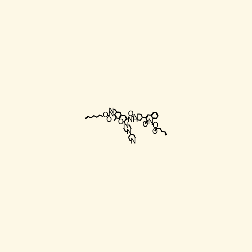 C=CCCCCCOC(=O)n1ncc2cc(CC(NC(=O)N3CCC(c4cc5ccccc5n(COC(=O)CCC=C)c4=O)CC3)C(=O)N3CCN(C4CCN(C)CC4)CC3)cc(C)c21